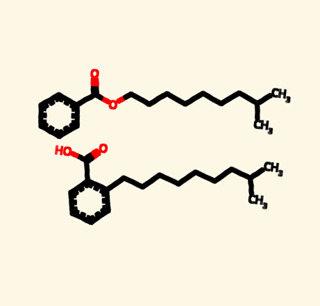 CC(C)CCCCCCCOC(=O)c1ccccc1.CC(C)CCCCCCCc1ccccc1C(=O)O